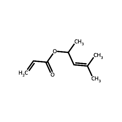 C=CC(=O)OC(C)C=C(C)C